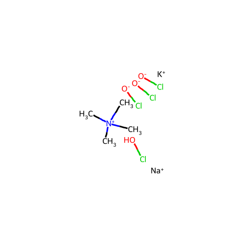 C[N+](C)(C)C.OCl.[K+].[Na+].[O-]Cl.[O-]Cl.[O-]Cl